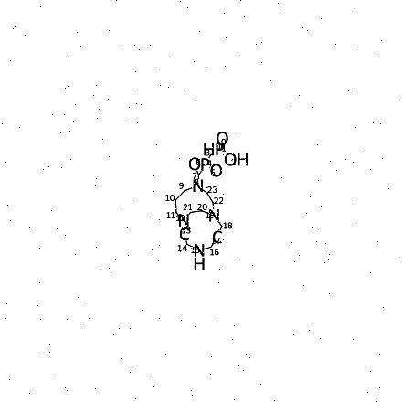 O=[PH](O)CP1(=O)OC1N1CCCN2CCNCCCN(CC2)CC1